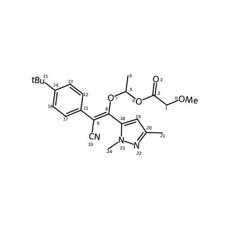 COCC(=O)OC(C)O/C(=C(/C#N)c1ccc(C(C)(C)C)cc1)c1cc(C)nn1C